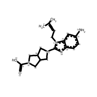 CC(C)=CCn1c(N2CC3CN(C(=O)O)CC3C2)nc2ccc(N)cc21